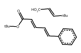 CC(C)(C)OC(=O)C=CC=Cc1ccccc1.CCCCC=CC(=O)O